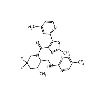 Cc1ccnc(-c2sc(C)nc2C(=O)N2CC(F)(F)C[C@@H](C)C2CNc2ncc(C(F)(F)F)cn2)c1